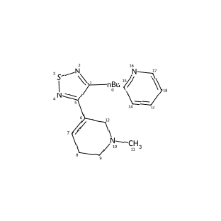 CCCCc1nsnc1C1=CCCN(C)C1.c1ccncc1